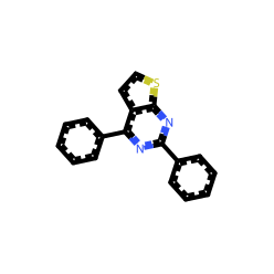 c1ccc(-c2nc(-c3ccccc3)c3ccsc3n2)cc1